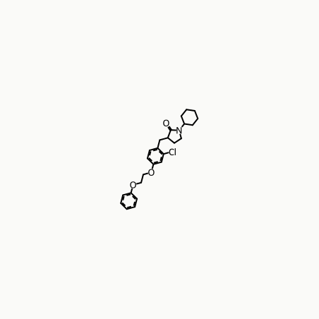 O=C1C(Cc2ccc(OCCOc3ccccc3)cc2Cl)CCN1C1CCCCC1